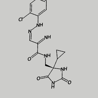 N=C(/C=N\Nc1ccccc1Cl)C(=O)NC[C@@]1(C2CC2)NC(=O)NC1=O